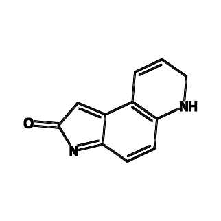 O=C1C=c2c3c(ccc2=N1)NCC=C3